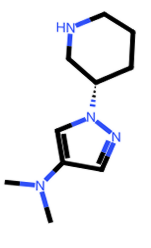 CN(C)c1cnn([C@H]2CCCNC2)c1